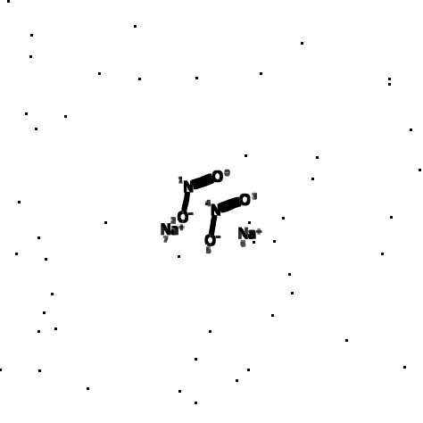 O=N[O-].O=N[O-].[Na+].[Na+]